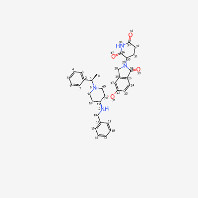 C[C@H](c1ccccc1)N1CC[C@H](NCc2ccccc2)[C@@H](Oc2ccc3c(c2)CN(C2CCC(=O)NC2=O)C3=O)C1